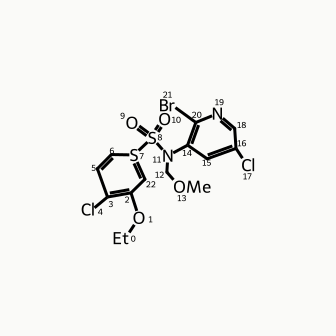 CCOC1=C(Cl)C=CS(S(=O)(=O)N(COC)c2cc(Cl)cnc2Br)=C1